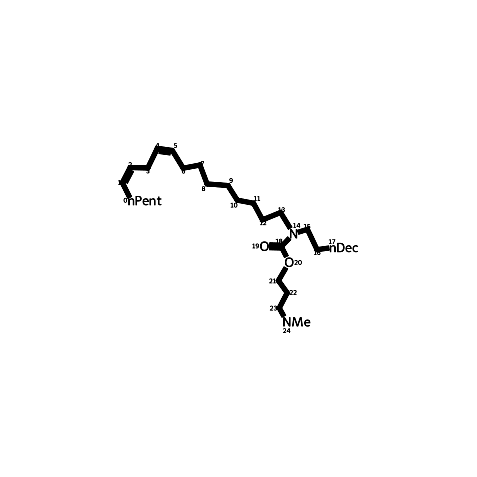 CCCCC/C=C\C/C=C\CCCCCCCCN(CCCCCCCCCCCC)C(=O)OCCCNC